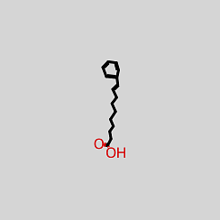 O=C(O)CCCCCCCC=Cc1ccccc1